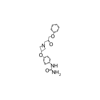 NC(=O)Nc1ccc(OC2CN(CC(=O)COc3ccccc3)C2)cc1